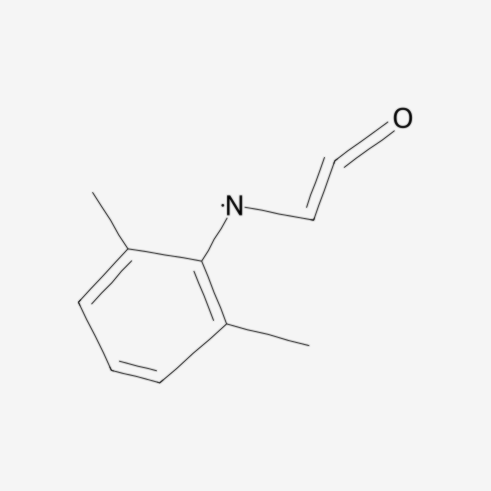 Cc1cccc(C)c1[N]C=C=O